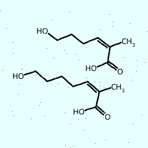 CC(=CCCCCO)C(=O)O.CC(=CCCCO)C(=O)O